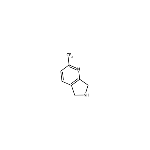 FC(F)(F)c1ccc2c(n1)CNC2